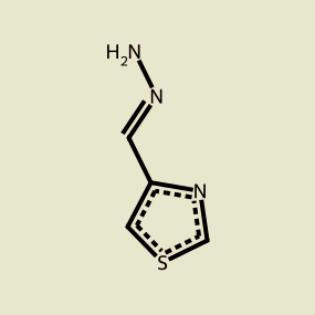 NN=Cc1cscn1